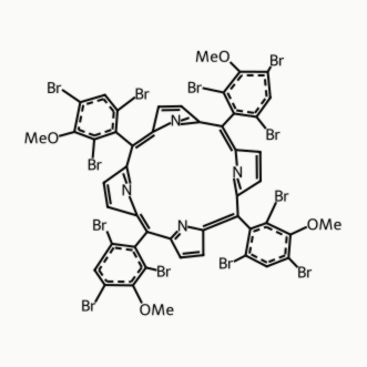 COc1c(Br)cc(Br)c(C2=C3C=CC(=N3)C(c3c(Br)cc(Br)c(OC)c3Br)=C3C=CC(=N3)C(c3c(Br)cc(Br)c(OC)c3Br)=C3C=CC(=N3)C(c3c(Br)cc(Br)c(OC)c3Br)=C3C=CC2=N3)c1Br